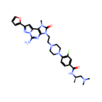 C[C@H](CN(C)C)NC(=O)c1ccc(N2CCN(CCn3c(=O)n(C)c4c3nc(N)n3nc(-c5ccco5)cc43)CC2)c(F)c1